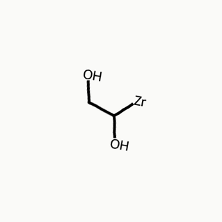 OC[CH](O)[Zr]